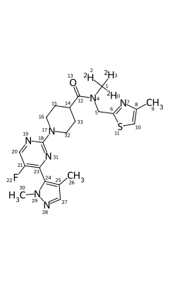 [2H]C([2H])([2H])N(Cc1nc(C)cs1)C(=O)C1CCN(c2ncc(F)c(-c3c(C)cnn3C)n2)CC1